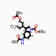 CC(C)(C)OC(=O)n1cc(C(CCOC(=O)C(C)(C)C)C[N+](=O)[O-])c2cc(NC(=O)C(C)(C)C)ccc21